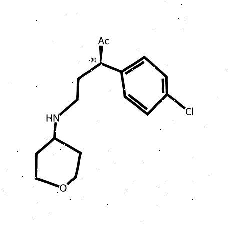 CC(=O)[C@H](CCNC1CCOCC1)c1ccc(Cl)cc1